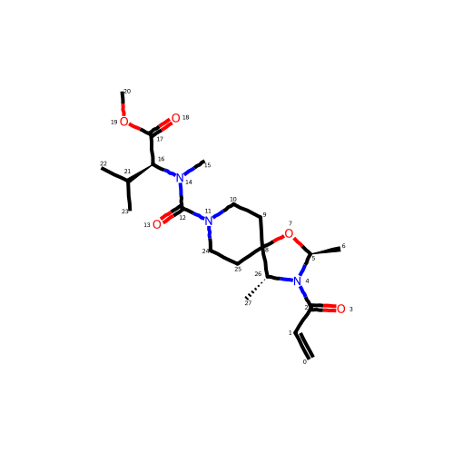 C=CC(=O)N1[C@H](C)OC2(CCN(C(=O)N(C)[C@H](C(=O)OC)C(C)C)CC2)[C@H]1C